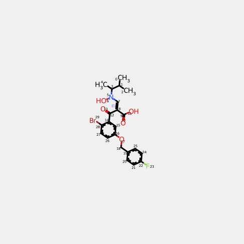 CC(C)C(C)N(O)/C=C(/C(=O)O)C(=O)c1cc(OCc2ccc(F)cc2)ccc1Br